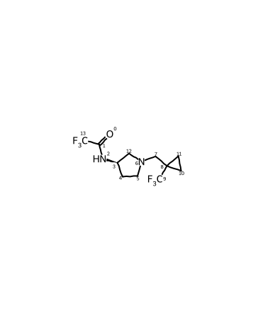 O=C(N[C@@H]1CCN(CC2(C(F)(F)F)CC2)C1)C(F)(F)F